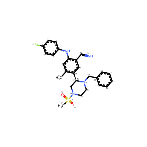 Cc1cc(Nc2ccc(F)cc2)c(C=N)cc1[C@@H]1CN(S(C)(=O)=O)CCN1Cc1ccccc1